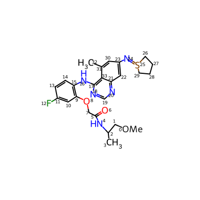 COCC(C)NC(=O)COc1cc(F)ccc1Nc1ncnc2cc(N=S3CCCC3)cc(C)c12